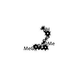 COc1cccc(CN(Cc2cccc(OC)c2)C(=O)OCCOCCOc2cccc(CNN(C)C)c2)c1